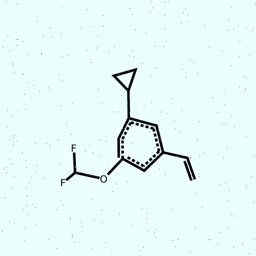 C=[C]c1cc(OC(F)F)cc(C2CC2)c1